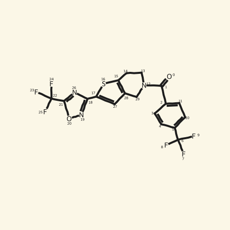 O=C(c1ccc(C(F)(F)F)cc1)N1CCc2sc(-c3noc(C(F)(F)F)n3)cc2C1